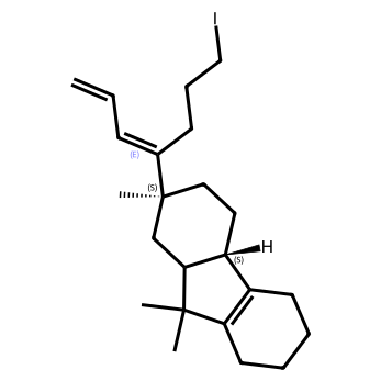 C=C/C=C(\CCCI)[C@@]1(C)CC[C@@H]2C3=C(CCCC3)C(C)(C)C2C1